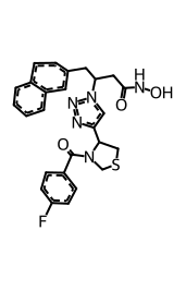 O=C(CC(Cc1ccc2ccccc2c1)n1cc(C2CSCN2C(=O)c2ccc(F)cc2)nn1)NO